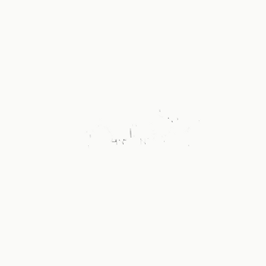 COC(=O)c1cc(NC(=O)Nc2ccccc2)ccn1